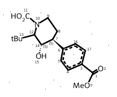 COC(=O)c1ccc([C@@H]2CCN(C(=O)O)C(C(C)(C)C)[C@H]2O)cc1